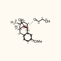 COc1ccc2c(c1)[C@]13CCN(C)[C@H](C2)C1[C@H](O)C[C@H](OCCO)C3